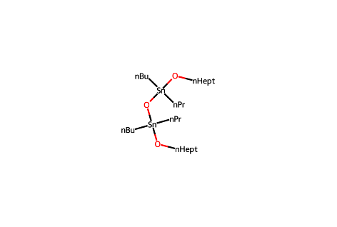 CCCCCCC[O][Sn]([CH2]CC)([CH2]CCC)[O][Sn]([CH2]CC)([CH2]CCC)[O]CCCCCCC